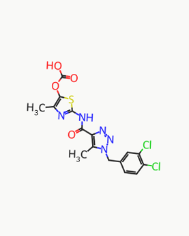 Cc1nc(NC(=O)c2nnn(Cc3ccc(Cl)c(Cl)c3)c2C)sc1OC(=O)O